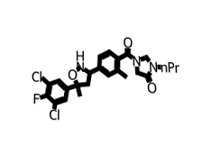 CCCN1CN(C(=O)c2ccc(C3CC(C)(c4cc(Cl)c(F)c(Cl)c4)ON3)cc2C)CC1=O